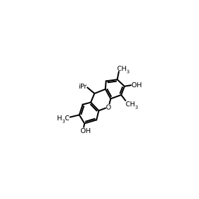 Cc1cc2c(cc1O)Oc1c(cc(C)c(O)c1C)C2C(C)C